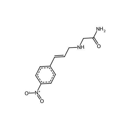 NC(=O)CNCC=Cc1ccc([N+](=O)[O-])cc1